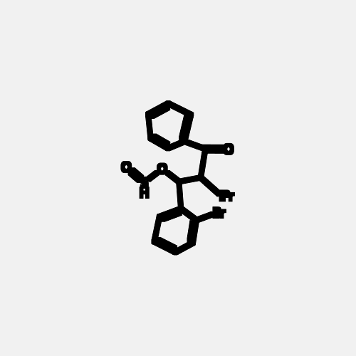 CC(C)C(C(=O)c1ccccc1)C(O[SH]=O)c1ccccc1Br